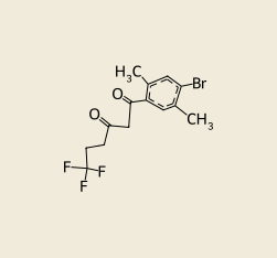 Cc1cc(C(=O)CC(=O)CCC(F)(F)F)c(C)cc1Br